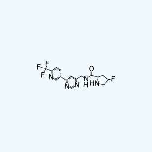 O=C(NCc1cc(-c2ccc(C(F)(F)F)nc2)ncn1)C1CC(F)CN1